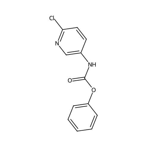 O=C(Nc1ccc(Cl)nc1)Oc1ccccc1